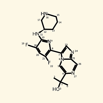 CC(C)(O)c1cn2c(-c3nc(N[C@@H]4CCCNC4)c(F)cc3F)cnc2cn1